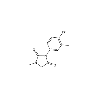 Cc1cc(N2C(=O)CN(C)C2=O)ccc1Br